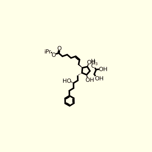 CC(C)OC(=O)CCC/C=C\C[C@@H]1[C@@H](CC[C@@H](O)CCc2ccccc2)[C@H](O)C[C@@H]1O.CC(O)CO